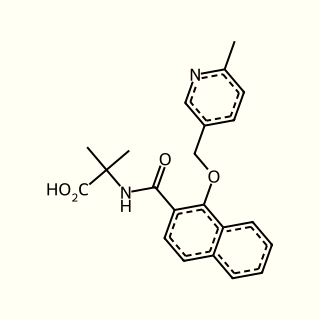 Cc1ccc(COc2c(C(=O)NC(C)(C)C(=O)O)ccc3ccccc23)cn1